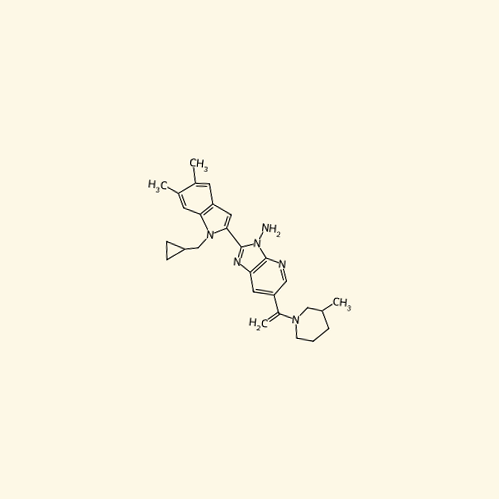 C=C(c1cnc2c(c1)nc(-c1cc3cc(C)c(C)cc3n1CC1CC1)n2N)N1CCCC(C)C1